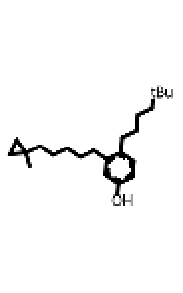 CC(C)(C)CCCCc1ccc(O)cc1CCCCCC1(C)CC1